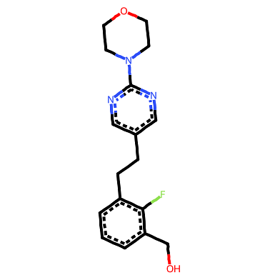 OCc1cccc(CCc2cnc(N3CCOCC3)nc2)c1F